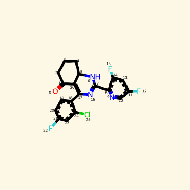 O=C1CCCC2NC(c3ncc(F)cc3F)=NC(c3ccc(F)cc3Cl)=C12